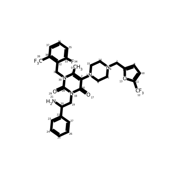 Cc1c(N2CCN(Cc3ccc(C(F)(F)F)o3)CC2)c(=O)n(CC(N)c2ccccc2)c(=O)n1Cc1c(F)cccc1C(F)(F)F